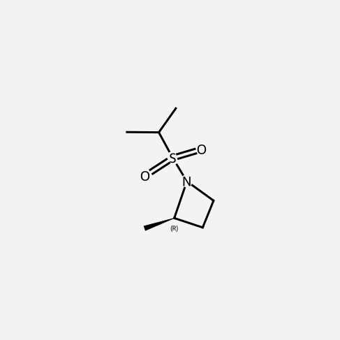 CC(C)S(=O)(=O)N1CC[C@H]1C